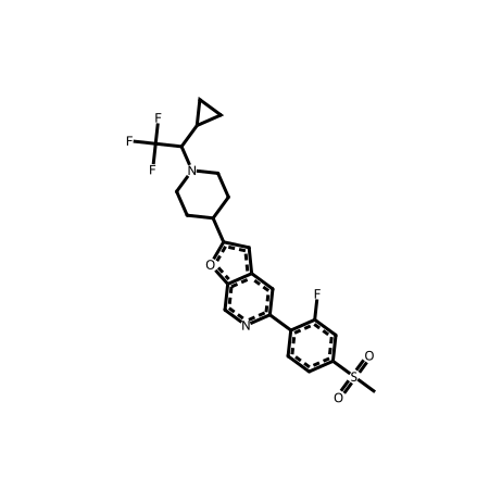 CS(=O)(=O)c1ccc(-c2cc3cc(C4CCN(C(C5CC5)C(F)(F)F)CC4)oc3cn2)c(F)c1